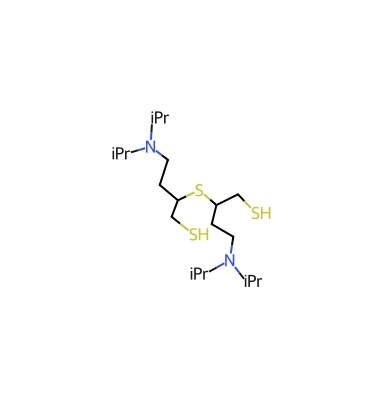 CC(C)N(CCC(CS)SC(CS)CCN(C(C)C)C(C)C)C(C)C